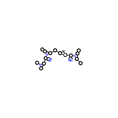 CC1(C)c2cc(-c3cccc(-c4ccc5c(c4)c4cc6ccccc6cc4n5-c4ccc(-c5ccc6c7ccccc7n(-c7ccccc7)c6c5)c5cnncc45)c3)ccc2C2C=CC(c3ccc(-n4c5ccc(-c6ccccc6)cc5c5cc6ccccc6cc54)c4cnncc34)=CC21